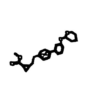 COC(=O)C1CC1CCC12CCC(c3cccc(OC4CCCCO4)c3)(CC1)OC2